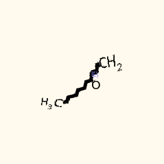 C=C/C=C/C(=O)CCCCCCC